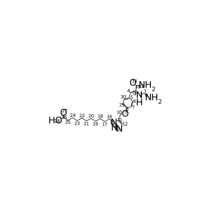 NCN[C@@H](Cc1ccc(OCc2cnnn2CCCCCCCCCCC(=O)O)cc1)C(N)=O